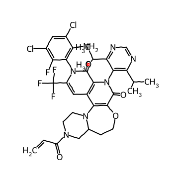 C=CC(=O)N1CCN2c3c(c(=O)n(-c4c(C(C)C)ncnc4C(C)C)c4c(=O)n(-c5c(N)c(Cl)cc(Cl)c5F)c(C(F)(F)F)cc34)OCCC2C1